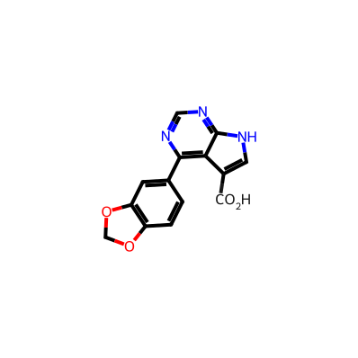 O=C(O)c1c[nH]c2ncnc(-c3ccc4c(c3)OCO4)c12